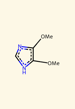 COc1nc[nH]c1OC